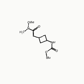 CON(C)C(=O)CC1CC(NC(=O)OC(C)(C)C)C1